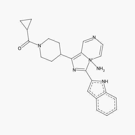 N[N+]12C=CN=CC1=C(C1CCN(C(=O)C3CC3)CC1)N=C2c1cc2ccccc2[nH]1